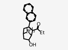 CCC(=O)C1C(c2ccc3ccccc3c2)CC2CC(O)C1N2C